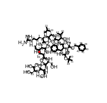 CC[C@H](C)[C@H](NC(=O)[C@@H](CCCNC(=N)N)NC(=O)[C@H](CC(C)C)NC(=O)[C@@H](NC(=O)[C@@H](NC(=O)OCc1ccccc1)[C@H](NC(=O)OC(C)(C)C)c1ccccc1)[C@H](O)C(C)C)C(=O)N[C@H](C(=O)N[C@H](CO)C(=O)NC(CO)C(=O)N[C@@H](CO)C(=O)O)[C@H](C)O